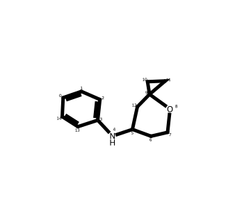 c1ccc(NC2CCOC3(CC3)C2)cc1